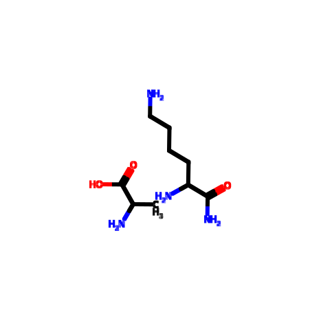 CC(N)C(=O)O.NCCCCC(N)C(N)=O